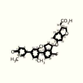 Cc1cc(-c2ccc(=O)n(C)c2)cc(C)c1-c1ccc(F)c2c1CC[C@H]2Oc1ccc2c(c1)OC[C@H]2CC(=O)O